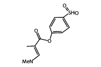 CNC=C(C)C(=O)Oc1ccc([SH](=O)=O)cc1